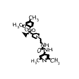 COc1cc(C)ccc1S(=O)(=O)N(C1CC1)C1CCN(CCNC(=O)Nc2cc(C)nc(C)c2)CC1